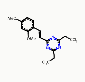 COc1ccc(C=Cc2nc(CC(Cl)(Cl)Cl)nc(CC(Cl)(Cl)Cl)n2)c(OC)c1